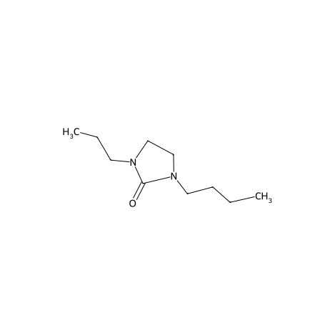 CCCCN1CCN(CCC)C1=O